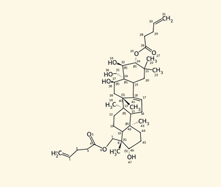 C=CCCC(=O)OC[C@]1(C)C2CC[C@]3(C)C(CC=C4C5CC(C)(C)[C@@H](OC(=O)CCC=C)[C@H](O)[C@]5(CO)[C@H](O)C[C@]43C)[C@@]2(C)CC[C@@H]1O